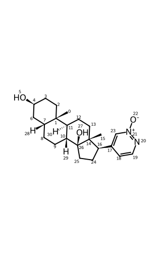 C[C@]12CC[C@H](O)C[C@H]1CC[C@@H]1[C@@H]2CC[C@]2(C)[C@@H](c3ccn[n+]([O-])c3)CC[C@]12O